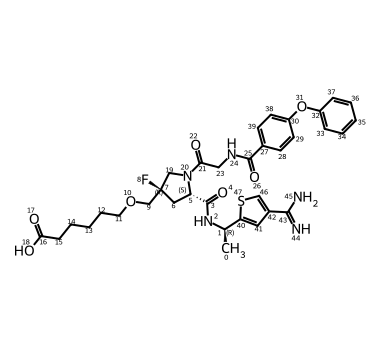 C[C@@H](NC(=O)[C@@H]1C[C@](F)(COCCCCCC(=O)O)CN1C(=O)CNC(=O)c1ccc(Oc2ccccc2)cc1)c1cc(C(=N)N)cs1